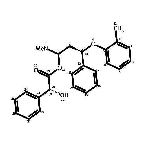 CNC(C[C@@H](Oc1ccccc1C)c1ccccc1)OC(=O)[C@H](O)c1ccccc1